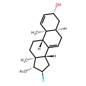 CC(=O)O[C@H]1[C@H](F)C[C@H]2C3=CC[C@@H]4C[C@@H](O)C=C[C@]4(C)[C@H]3CC[C@@]21C